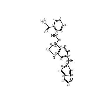 O=C(O)c1ccncc1NC[C@@H]1CCOc2cc(Nc3ccc4ccoc4c3)ccc21